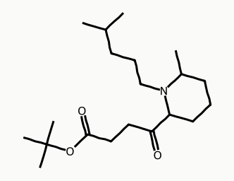 CC(C)CCCN1C(C)CCCC1C(=O)CCC(=O)OC(C)(C)C